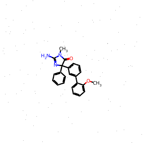 COc1ccccc1-c1cccc(C2(c3ccccc3)N=C(N)N(C)C2=O)c1